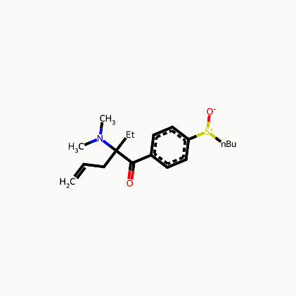 C=CCC(CC)(C(=O)c1ccc([S+]([O-])CCCC)cc1)N(C)C